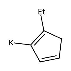 CCC1=[C]([K])C=CC1